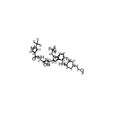 COCCN1CC[C@@H](Nc2cccc3c2cc(-c2noc(CNC(=O)c4cnn(C(C)(C)C)c4)n2)n3CC(F)(F)F)[C@@H](F)C1